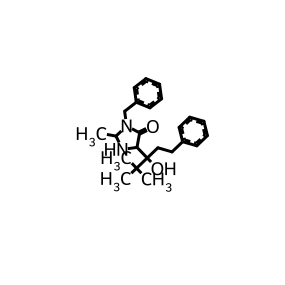 CC1NC(C(O)(CCc2ccccc2)C(C)(C)C)C(=O)N1Cc1ccccc1